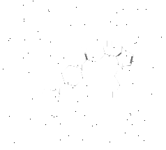 CN(C)C1CCN(C(=O)CC(O)c2nccn2CCF)CC1